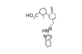 Cc1c(C(=O)O)cccc1C1=CC(CC=NNc2nc3ccccc3s2)=CCC1=S